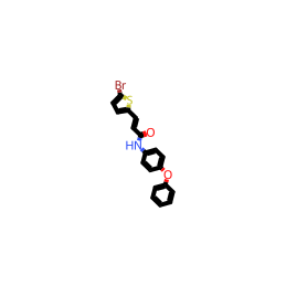 O=C(/C=C/c1ccc(Br)s1)Nc1ccc(Oc2ccccc2)cc1